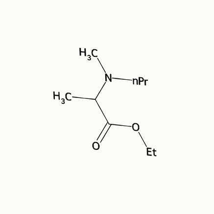 CCCN(C)C(C)C(=O)OCC